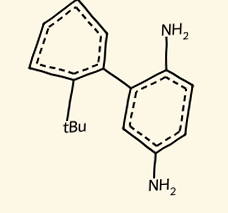 CC(C)(C)c1ccccc1-c1cc(N)ccc1N